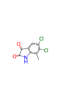 Cc1c(Cl)c(Cl)cc2c1NC(=O)C2=O